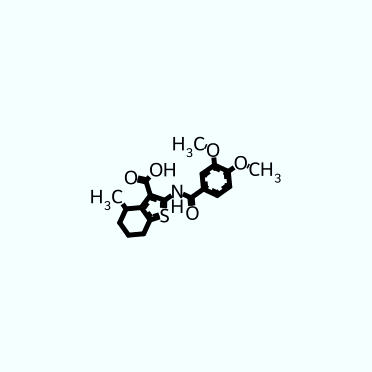 COc1ccc(C(=O)Nc2sc3c(c2C(=O)O)C(C)CCC3)cc1OC